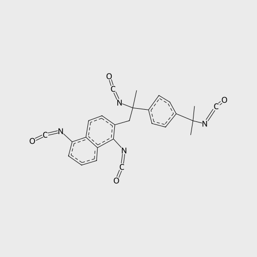 CC(C)(N=C=O)c1ccc(C(C)(Cc2ccc3c(N=C=O)cccc3c2N=C=O)N=C=O)cc1